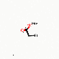 CCCC(=O)O.[Ho]